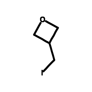 ICC1COC1